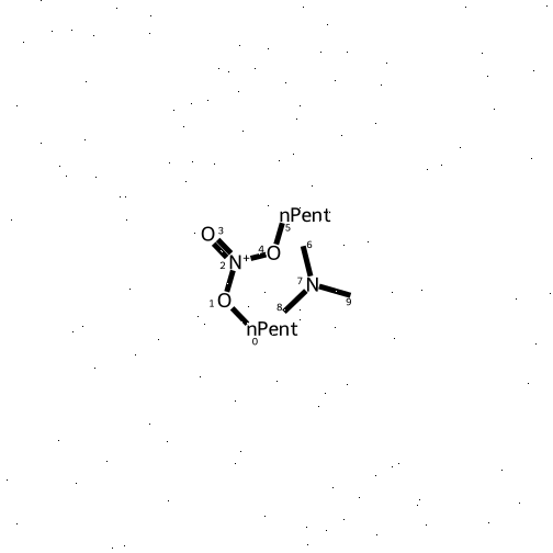 CCCCCO[N+](=O)OCCCCC.CN(C)C